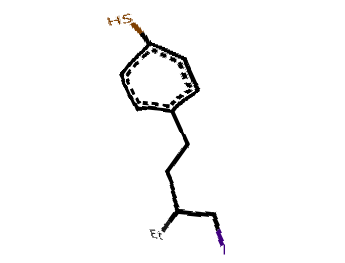 CCC(CI)CCc1ccc(S)cc1